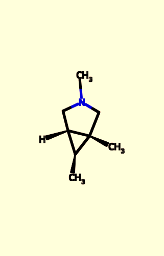 C[C@H]1[C@@H]2CN(C)C[C@]12C